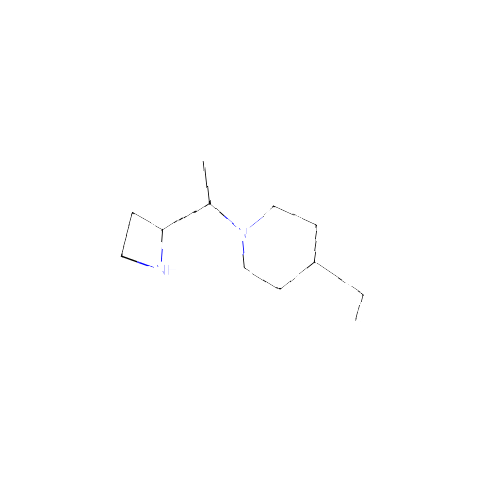 [CH2]CC1CCN(C(C)C2CCN2)CC1